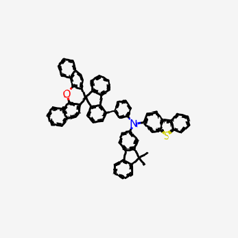 CC1(C)c2ccccc2-c2ccc(N(c3cccc(-c4cccc5c4-c4ccccc4C54c5ccc6ccccc6c5Oc5c4ccc4ccccc54)c3)c3ccc4c(c3)sc3ccccc34)cc21